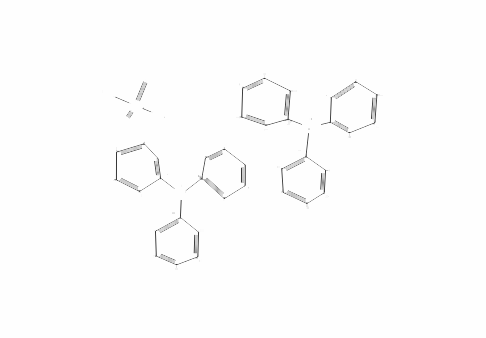 [O]=[Cr](=[O])([O-])[O-].c1cc[c]([Sn+]([c]2ccccc2)[c]2ccccc2)cc1.c1cc[c]([Sn+]([c]2ccccc2)[c]2ccccc2)cc1